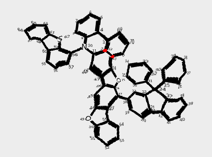 c1ccc(-c2ccccc2N(c2ccc3oc4c(-c5ccc6c(c5)C(c5ccccc5)(c5ccccc5)c5ccccc5-6)c5c(cc4c3c2)oc2ccccc25)c2cccc3c2sc2ccccc23)cc1